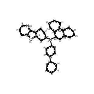 c1ccc(-c2ccc(N(c3ccc4c(c3)oc3cccnc34)c3cc4ccccc4c4ccccc34)cc2)cc1